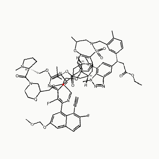 C#Cc1c(F)ccc2cc(OCOC)cc(-c3ncc4c(N5C[C@H]6CC[C@@H](C5)N6C(=O)OC(C)(C)C)nc(OC[C@@]5(C(=O)N6CCOC(COCCOc7ccc8c(c7)OC(C)CN(Cc7cc(C(CC(=O)OCC)c9cc(OC)c%10c(c9)nnn%10C)ccc7C)S8(=O)=O)C6)CCCN5C)nc4c3F)c12